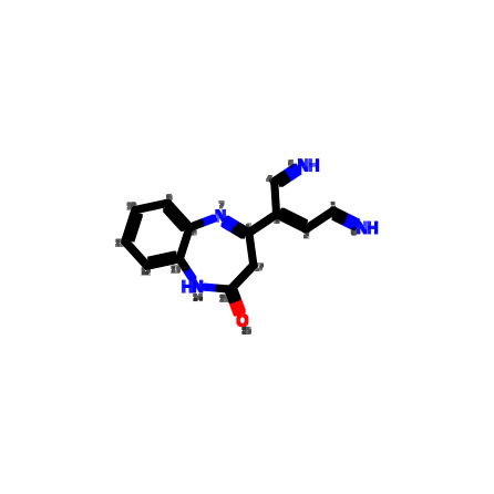 N=C/C=C(\C=N)C1=Nc2ccccc2NC(=O)C1